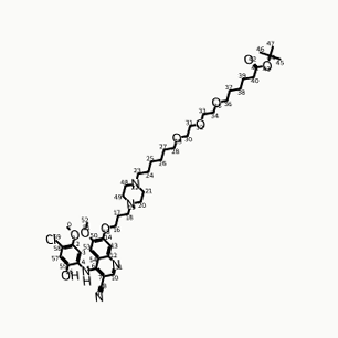 COc1cc(Nc2c(C#N)cnc3cc(OCCCN4CCN(CCCCCCOCCOCCOCCCCCC(=O)OC(C)(C)C)CC4)c(OC)cc23)c(O)cc1Cl